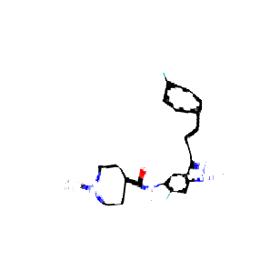 CC(=O)N1CCC(C(=O)Nc2cc3c(/C=C/c4ccc(F)cc4)n[nH]c3cc2F)CC1